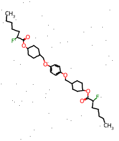 CCCCC[C@H](F)C(=O)OC1CCC(COc2ccc(OCC3CCC(OC(=O)[C@@H](F)CCCCC)CC3)cc2)CC1